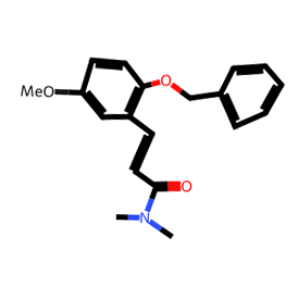 COc1ccc(OCc2ccccc2)c(C=CC(=O)N(C)C)c1